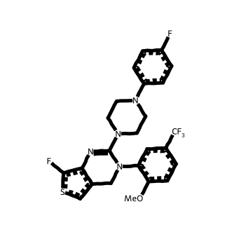 COc1ccc(C(F)(F)F)cc1N1Cc2csc(F)c2N=C1N1CCN(c2ccc(F)cc2)CC1